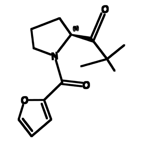 CC(C)(C)C(=O)[C@@H]1CCCN1C(=O)c1ccco1